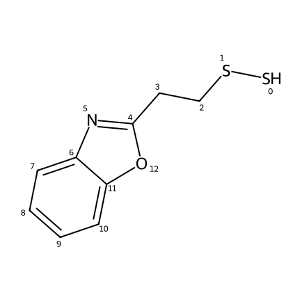 SSCCc1nc2ccccc2o1